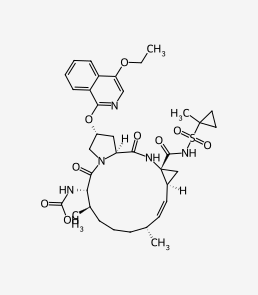 CCOc1cnc(O[C@@H]2C[C@H]3C(=O)N[C@]4(C(=O)NS(=O)(=O)C5(C)CC5)C[C@H]4C=C[C@H](C)CCC[C@@H](C)[C@H](NC(=O)O)C(=O)N3C2)c2ccccc12